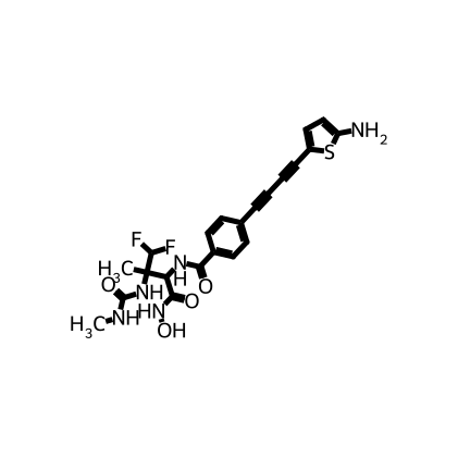 CNC(=O)NC(C)(C(F)F)C(NC(=O)c1ccc(C#CC#Cc2ccc(N)s2)cc1)C(=O)NO